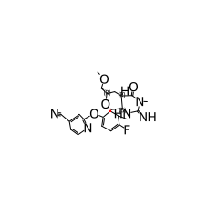 COC[C@H]1C[C@H]2C(=O)N(C)C(=N)N[C@@]2(C2(C)CC(Oc3cc(C#N)ccn3)=CC=C2F)CO1